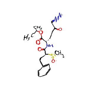 CC(C)OC(=O)[C@H](CCC(=O)C=[N+]=[N-])NC(=O)[C@H](Cc1ccccc1)[S+](C)[O-]